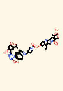 CCC1=C2Cn3c(cc4c(c3=O)COC(=O)C4(O)CC)C2=NC2=CC=C(OC(=O)N3CCC(Cn4ccc5cc(-n6c(O)nnc6-c6cc(C(C)C)c(O)cc6O)ccc54)CC3)CC21